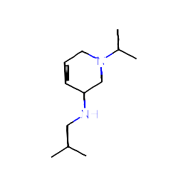 CC(C)CNC1C=CCN(C(C)C)C1